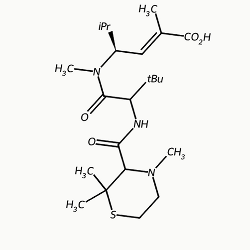 C/C(=C\[C@H](C(C)C)N(C)C(=O)C(NC(=O)C1N(C)CCSC1(C)C)C(C)(C)C)C(=O)O